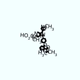 CN(C)C(=O)c1ncccc1OC1CCC(n2nc(-c3cnn(C)c3)c3cnc(N(C)C(=O)O)cc32)CC1